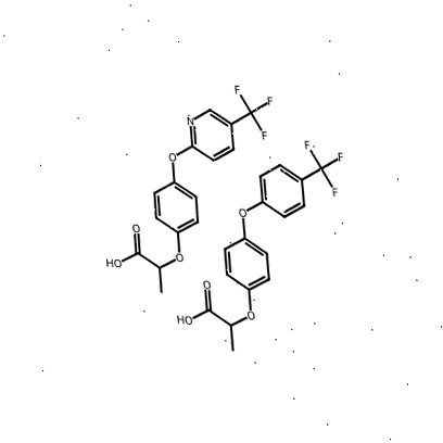 CC(Oc1ccc(Oc2ccc(C(F)(F)F)cc2)cc1)C(=O)O.CC(Oc1ccc(Oc2ccc(C(F)(F)F)cn2)cc1)C(=O)O